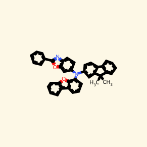 CC1(C)c2ccccc2-c2ccc(N(c3ccc4nc(-c5ccccc5)oc4c3)c3cccc4c3oc3ccccc34)cc21